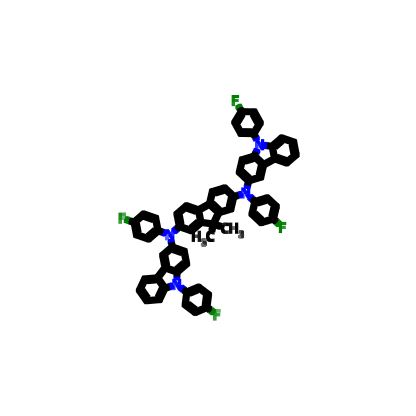 CC1(C)c2cc(N(c3ccc(F)cc3)c3ccc4c(c3)c3ccccc3n4-c3ccc(F)cc3)ccc2-c2ccc(N(c3ccc(F)cc3)c3ccc4c(c3)c3ccccc3n4-c3ccc(F)cc3)cc21